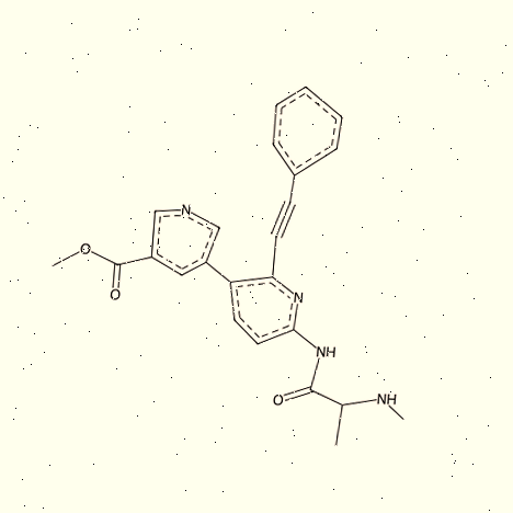 CNC(C)C(=O)Nc1ccc(-c2cncc(C(=O)OC)c2)c(C#Cc2ccccc2)n1